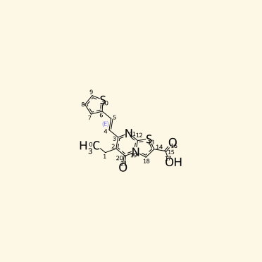 CCc1c(/C=C/c2cccs2)nc2sc(C(=O)O)cn2c1=O